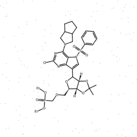 CCOP(=O)(COC[C@H]1OC(c2cn(S(=O)(=O)c3ccccc3)c3c(N4CC5CCCC5C4)nc(Cl)nc23)[C@@H]2OC(C)(C)O[C@H]12)OCC